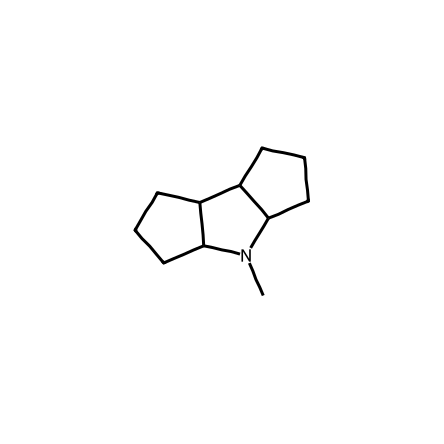 CN1C2CCCC2C2CCCC21